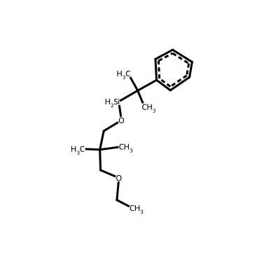 CCOCC(C)(C)CO[SiH2]C(C)(C)c1ccccc1